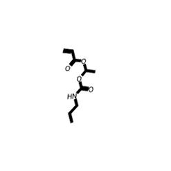 C=CC(=O)OC(C)OC(=O)NCCC